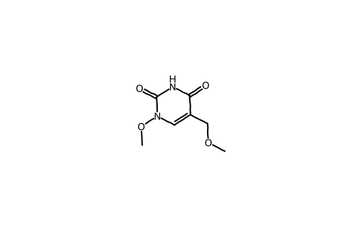 COCc1cn(OC)c(=O)[nH]c1=O